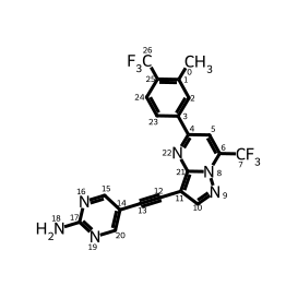 Cc1cc(-c2cc(C(F)(F)F)n3ncc(C#Cc4cnc(N)nc4)c3n2)ccc1C(F)(F)F